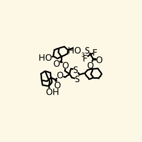 CC1CC2CC(O)CC(C(=O)OCC3(COC(=O)C45CC6CC(CC(O)(C6)C4)C5)CSC(C4CC5CCCC(OC(=O)C(F)(F)S(=O)(=O)O)(C5)C4)SC3)(C1)C2